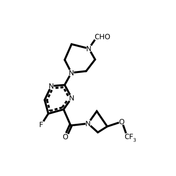 O=CN1CCN(c2ncc(F)c(C(=O)N3CC(OC(F)(F)F)C3)n2)CC1